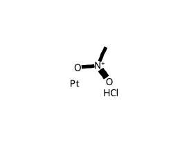 C[N+](=O)[O-].Cl.[Pt]